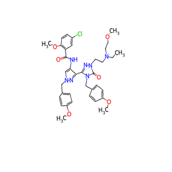 CCN(CCOC)CCn1nc(-c2nn(Cc3ccc(OC)cc3)cc2NC(=O)c2cc(Cl)ccc2OC)n(Cc2ccc(OC)cc2)c1=O